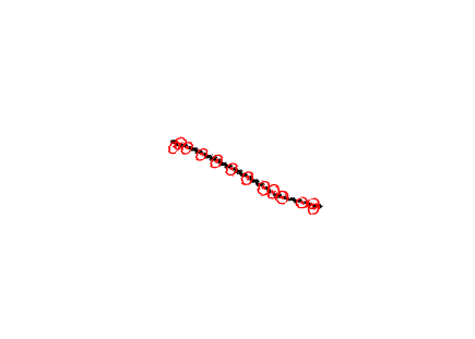 C=CC(=O)OCCOCCCCCOCCCCCOCCCCCOCCCCCOCCCCCOCCOCCOCCCCCOCCOC(=O)C=C